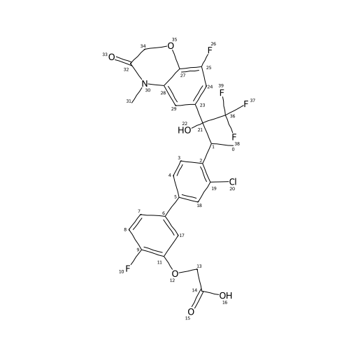 CC(c1ccc(-c2ccc(F)c(OCC(=O)O)c2)cc1Cl)C(O)(c1cc(F)c2c(c1)N(C)C(=O)CO2)C(F)(F)F